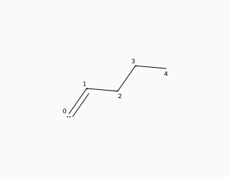 [C]=CCCC